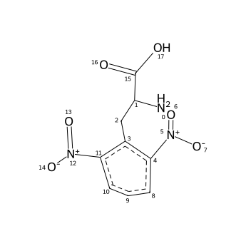 NC(Cc1c([N+](=O)[O-])cccc1[N+](=O)[O-])C(=O)O